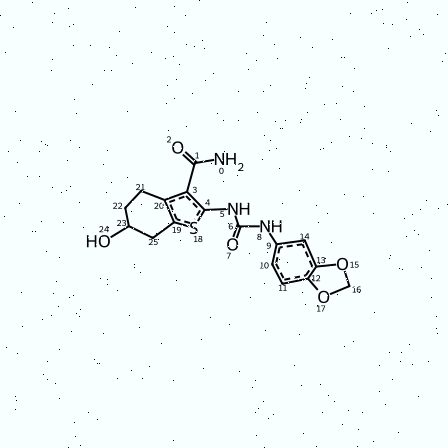 NC(=O)c1c(NC(=O)Nc2ccc3c(c2)OCO3)sc2c1CCC(O)C2